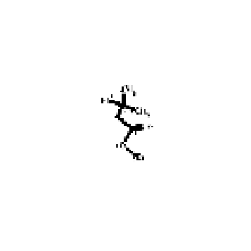 CCOC(=O)CC(C)(C)CC